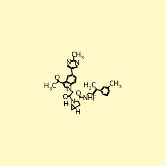 CC(=O)c1cn(CC(=O)N2[C@@H]3C[C@@H]3C[C@H]2C(=O)NC/C(F)=C(\C)c2cccc(C)c2)c2ccc(-c3cnc(C)nc3)cc12